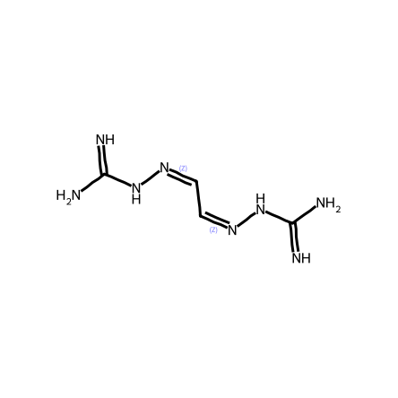 N=C(N)N/N=C\C=N/NC(=N)N